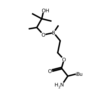 CCC(C)C(N)C(=O)OCCB(C)OC(C)C(C)(C)O